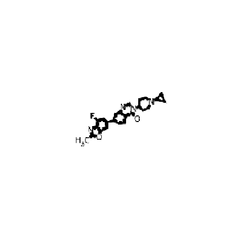 Cc1nc2c(F)cc(-c3ccc4c(=O)n(C5CCN(C6CC6)CC5)cnc4c3)cc2o1